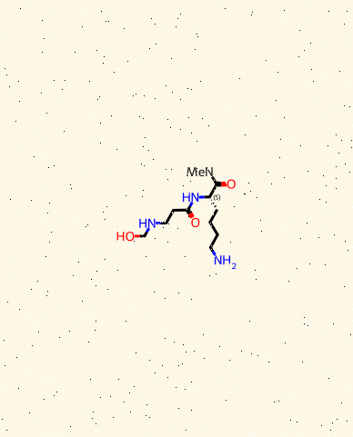 CNC(=O)[C@H](CCCCN)NC(=O)CCNCO